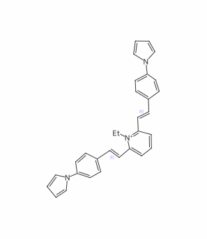 CC[n+]1c(/C=C/c2ccc(-n3cccc3)cc2)cccc1/C=C/c1ccc(-n2cccc2)cc1